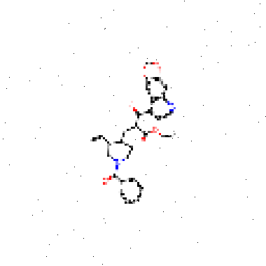 C=CC1CN(C(=O)c2ccccc2)CCC1CC(C(=O)OCC)C(=O)c1ccnc2cc3c(cc12)OCO3